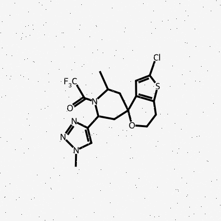 CC1CC2(CC(c3cn(C)nn3)N1C(=O)C(F)(F)F)OCCc1sc(Cl)cc12